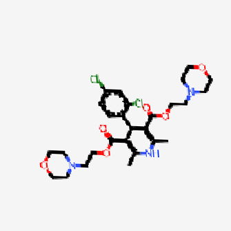 CC1=C(C(=O)OCCN2CCOCC2)C(c2ccc(Cl)cc2Cl)C(C(=O)OCCN2CCOCC2)=C(C)N1